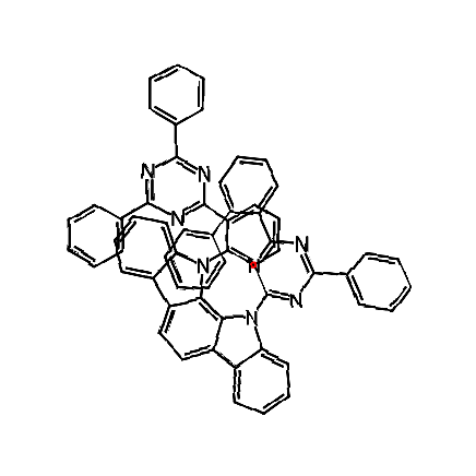 c1ccc(-c2nc(-c3ccccc3)nc(-c3ccccc3-n3c4ccccc4c4ccc5c6ccccc6n(-c6nc(-c7ccccc7)nc(-c7ccccc7-c7ccccc7)n6)c5c43)n2)cc1